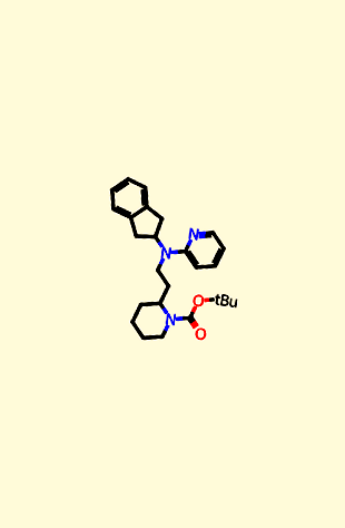 CC(C)(C)OC(=O)N1CCCCC1CCN(c1ccccn1)C1Cc2ccccc2C1